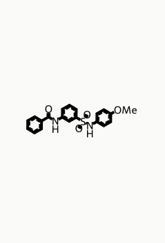 COc1ccc(NS(=O)(=O)c2cccc(NC(=O)c3ccccc3)c2)cc1